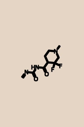 C=NC(=O)NC(=O)C1CCN(C)CC1(F)F